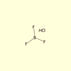 Cl.FB(F)F